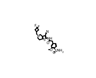 COc1cc(CC(=O)Nc2sc3c(c2C#N)CN(CC2CC(F)(F)C2)CC3)ccc1[S+](N)[O-]